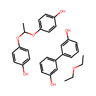 CC(Oc1ccc(O)cc1)Oc1ccc(O)cc1.CCOCC.Oc1cccc(-c2cccc(O)c2)c1